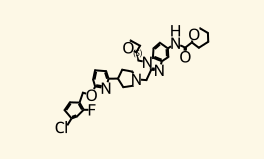 O=C(Nc1ccc2c(c1)nc(CN1CCC(c3cccc(OCc4ccc(Cl)cc4F)n3)CC1)n2C[C@@H]1CCO1)C1CCCCO1